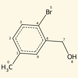 Cc1ccc(Br)c(CO)c1